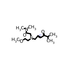 COCCN(C/C=C/C(=O)C(C)C)CC(=O)N(C)C